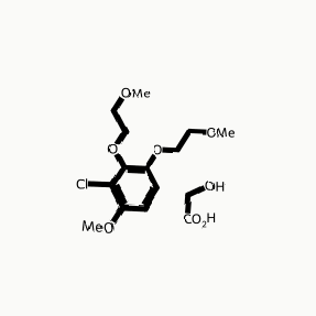 COCCOc1ccc(OC)c(Cl)c1OCCOC.O=C(O)CO